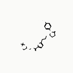 CCCCCCc1ccc(N2C(=O)CC[C@@H]2CCCc2ccc(C(=O)OC[C@H]3COC(C)(C)O3)s2)cc1